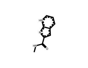 CNC(=O)c1cc2ccc[nH]c-2n1